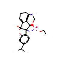 CCOP(=O)(NC12C(=O)C3=C(N)CCC=C3C1(O)Oc1cc(C(C)C)ccc12)OCC